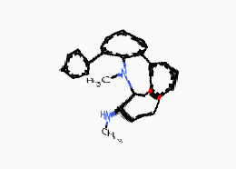 CNC1C=CC=CC1N(C)c1c(-c2ccccc2)cccc1-c1ccccc1